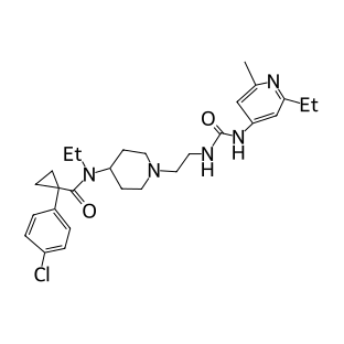 CCc1cc(NC(=O)NCCN2CCC(N(CC)C(=O)C3(c4ccc(Cl)cc4)CC3)CC2)cc(C)n1